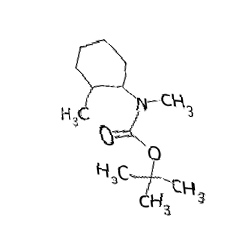 CC1CCCCC1N(C)C(=O)OC(C)(C)C